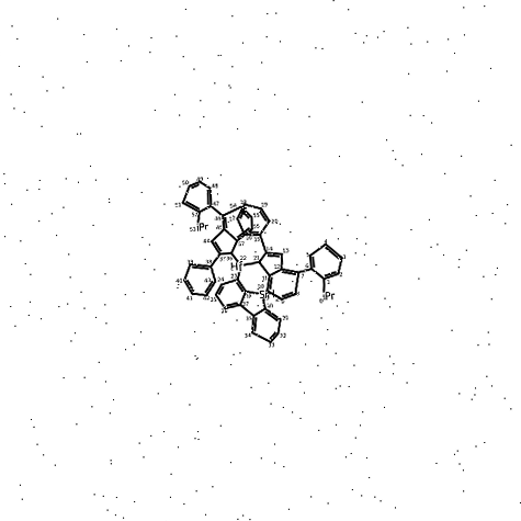 CC(C)c1ccccc1-c1cccc2c1C=C(c1ccccc1)[CH]2[Hf]([c]1cccc2c1[SiH2]c1ccccc1-2)[CH]1C(c2ccccc2)=Cc2c(-c3ccccc3C(C)C)cccc21